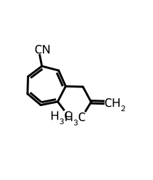 C=C(C)CC1=CC(C#N)=CC=C=C1C